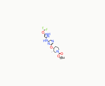 C[C@H]1CN(C(=O)OC(C)(C)C)CCC[C@@H]1Oc1cncc(Nc2cc(OC(F)F)[nH]n2)n1